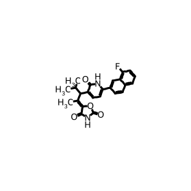 CC(=C1OC(=O)NC1=O)C(c1ccc(-c2ccc3cccc(F)c3c2)[nH]c1=O)C(C)C